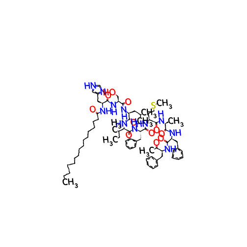 CCCCCCCCCCCCCCCC(=O)N[C@@H](Cc1c[nH]cn1)C(=O)N[C@@H](CO)C(=O)N[C@@H](CC(C)C)C(=O)N[C@H](C(=O)N[C@@H](Cc1ccccc1)C(=O)N[C@@H](CCSC)C(=O)N[C@@H](C)C(=O)N[C@@H](Cc1ccccc1)C(=O)N[C@@H](Cc1ccccc1)C(C)=O)[C@@H](C)CC